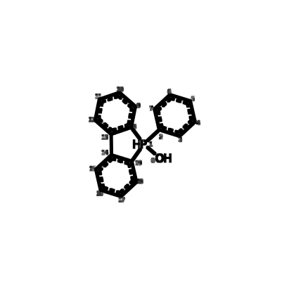 O[PH]1(c2ccccc2)c2ccccc2-c2ccccc21